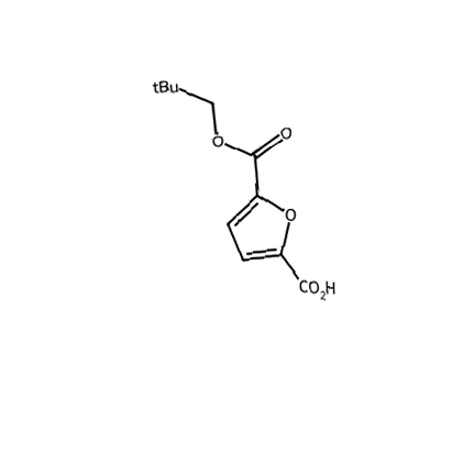 CC(C)(C)COC(=O)c1ccc(C(=O)O)o1